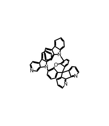 c1cnc2c(c1)C1(c3cccnc3-2)c2cccc(-n3c4ccccc4c4ccccc43)c2Oc2c(-n3c4ccccc4c4ccncc43)cccc21